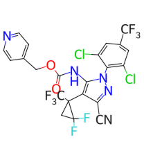 N#Cc1nn(-c2c(Cl)cc(C(F)(F)F)cc2Cl)c(NC(=O)OCc2ccncc2)c1C1(C(F)(F)F)CC1(F)F